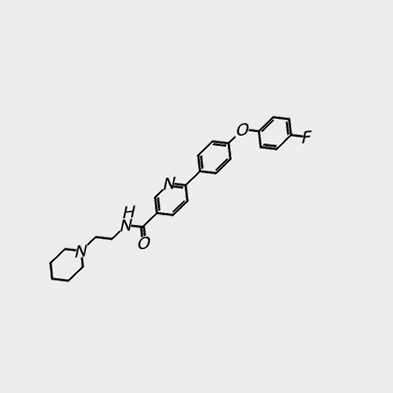 O=C(NCCN1CCCCC1)c1ccc(-c2ccc(Oc3ccc(F)cc3)cc2)nc1